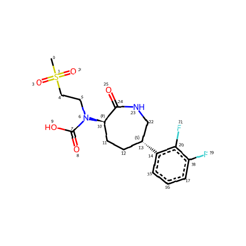 CS(=O)(=O)CCN(C(=O)O)[C@@H]1CC[C@@H](c2cccc(F)c2F)CNC1=O